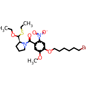 CCOC(SCC)[C@@H]1CCCN1C(=O)c1cc(OC)c(OCCCCCCBr)cc1[N+](=O)[O-]